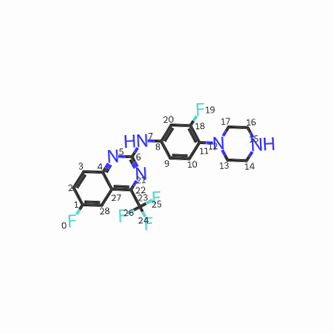 Fc1ccc2nc(Nc3ccc(N4CCNCC4)c(F)c3)nc(C(F)(F)F)c2c1